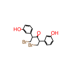 O=C(C(CBr)c1cccc(O)c1)C(CBr)c1cccc(O)c1